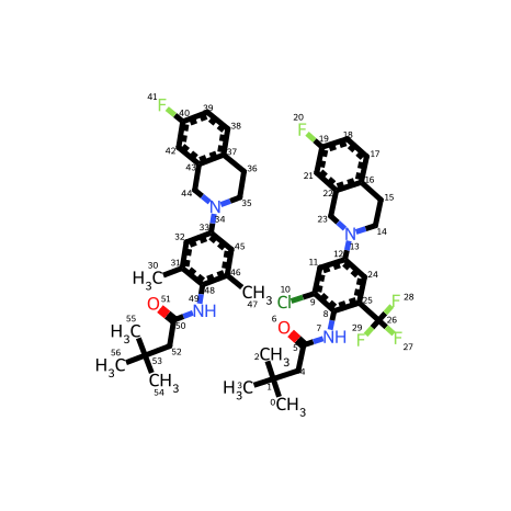 CC(C)(C)CC(=O)Nc1c(Cl)cc(N2CCc3ccc(F)cc3C2)cc1C(F)(F)F.Cc1cc(N2CCc3ccc(F)cc3C2)cc(C)c1NC(=O)CC(C)(C)C